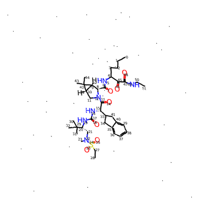 CCCCC(NC(=O)[C@@H]1[C@@H]2[C@H](CN1C(=O)[C@@H](NC(=O)N[C@H](CN(C)S(=O)(=O)CC)C(C)(C)C)C1Cc3ccccc3C1)C2(C)C)C(=O)C(=O)NCC